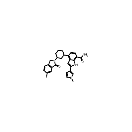 Cn1cc(-c2cc3c(N4CCCC(N5Cc6ccc(F)cc6C5=O)C4)ccc(C(N)=O)c3[nH]2)cn1